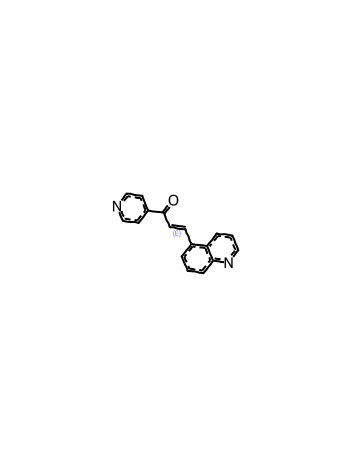 O=C(/C=C/c1cccc2ncccc12)c1ccncc1